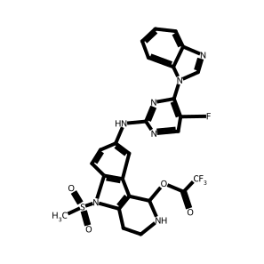 CS(=O)(=O)n1c2c(c3cc(Nc4ncc(F)c(-n5cnc6ccccc65)n4)ccc31)C(OC(=O)C(F)(F)F)NCC2